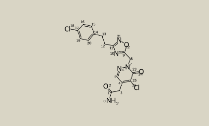 NC(=O)Cc1cnn(Cc2nc(CCc3ccc(Cl)cc3)no2)c(=O)c1Cl